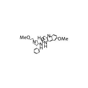 COCCN1C[C@@H](NC(=O)Nc2cc3cc(OC)ccc3nc2C)[C@H](c2ccccc2)C1